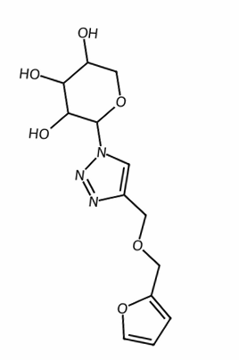 OC1COC(n2cc(COCc3ccco3)nn2)C(O)C1O